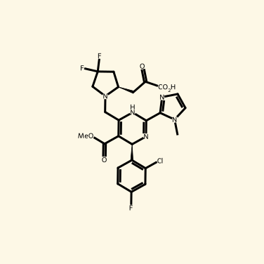 COC(=O)C1=C(CN2CC(F)(F)C[C@H]2CC(=O)C(=O)O)NC(c2nccn2C)=N[C@H]1c1ccc(F)cc1Cl